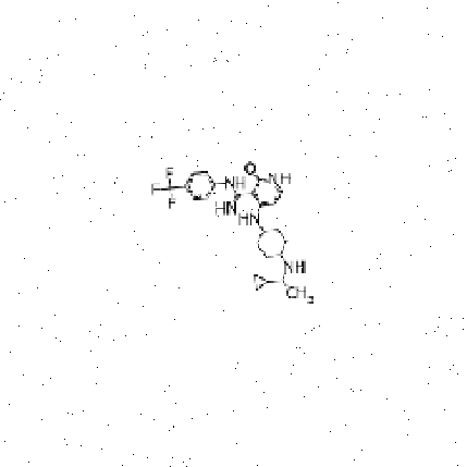 CC(NC1CCC(Nc2cc[nH]c(=O)c2C(=N)Nc2ccc(C(F)(F)F)cc2)CC1)C1CC1